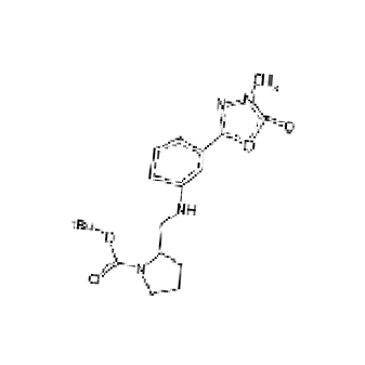 Cn1nc(-c2cccc(NCC3CCCN3C(=O)OC(C)(C)C)c2)oc1=O